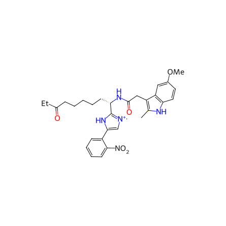 CCC(=O)CCCCC[C@H](NC(=O)Cc1c(C)[nH]c2ccc(OC)cc12)C1=[N+]C=C(c2ccccc2[N+](=O)[O-])N1